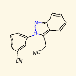 N#CCc1c2ccccc2nn1-c1cccc(C#N)c1